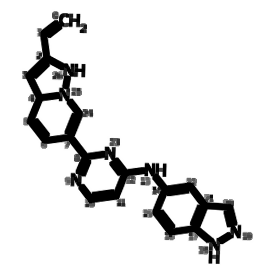 C=CC1=CC2C=CC(c3nccc(Nc4ccc5[nH]ncc5c4)n3)=CN2N1